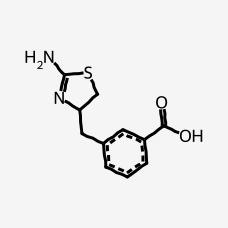 NC1=NC(Cc2cccc(C(=O)O)c2)CS1